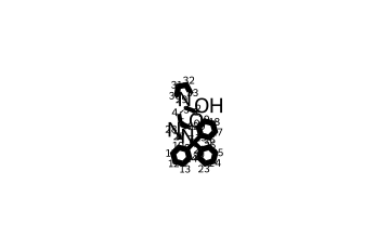 O=C(O)[C@H](Cc1cn(C(c2ccccc2)(c2ccccc2)c2ccccc2)cn1)n1cccc1